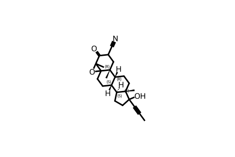 CC#CC1(O)CC[C@H]2[C@@H]3CCC45OC4(C)C(=O)C(C#N)C[C@]5(C)[C@@H]3CC[C@@]21C